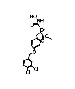 COC(=O)[C@@]1(Cc2ccc(OCc3ccc(Cl)c(Cl)c3)cc2)C[C@@H]1C(=O)NO